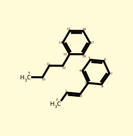 CC=Cc1ccccc1.CCCCc1ccccc1